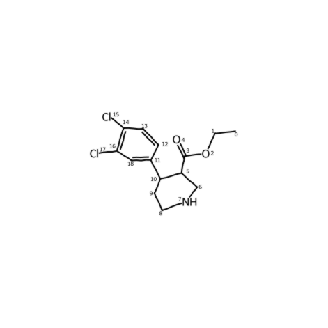 CCOC(=O)C1CNCCC1c1ccc(Cl)c(Cl)c1